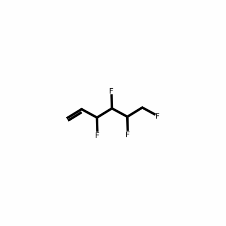 C=CC(F)C(F)C(F)CF